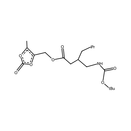 Cc1oc(=O)oc1COC(=O)CC(CNC(=O)OC(C)(C)C)CC(C)C